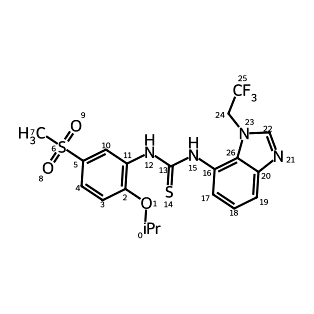 CC(C)Oc1ccc(S(C)(=O)=O)cc1NC(=S)Nc1cccc2ncn(CC(F)(F)F)c12